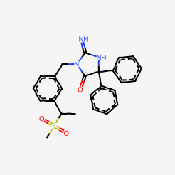 CC(c1cccc(CN2C(=N)NC(c3ccccc3)(c3ccccc3)C2=O)c1)S(C)(=O)=O